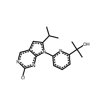 CC(C)c1cc2cnc(Cl)nc2n1-c1cccc(C(C)(C)O)n1